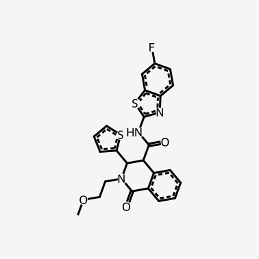 COCCN1C(=O)c2ccccc2C(C(=O)Nc2nc3ccc(F)cc3s2)C1c1cccs1